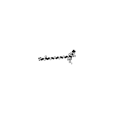 CC(C)(C)OC(=O)N[C@H](CN)C(=O)NCCOCCOCCOCCOCCC(=O)OCC[Si](C)(C)C